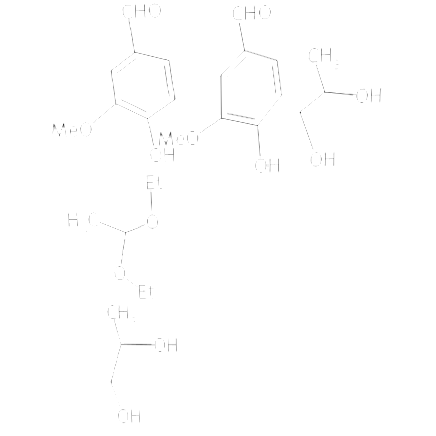 CC(O)CO.CC(O)CO.CCOC(C)OCC.COc1cc(C=O)ccc1O.COc1cc(C=O)ccc1O